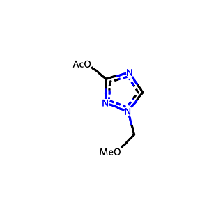 COCn1cnc(OC(C)=O)n1